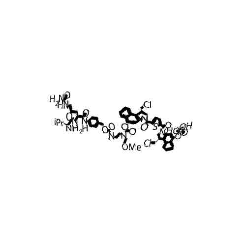 COCCN(CCN(C)C(=O)OCc1ccc(NC(=O)[C@H](CCCNC(N)=O)NC(=O)[C@@H](N)C(C)C)cc1)C(=O)Oc1cc2c(c3ccccc13)[C@H](CCl)CN2C(=O)c1ccc(C(=O)N2C[C@@H](CCl)c3c2cc(OP(=O)(O)O)c2ccccc32)s1